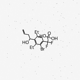 C=CCC(O)c1c(CC)cc(C(F)(F)P(=O)(O)O)c(Br)c1CC